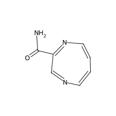 NC(=O)C1=NC=CC=CN=C1